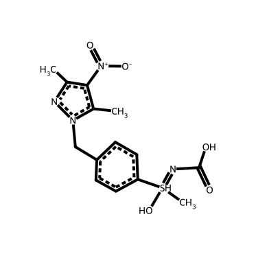 Cc1nn(Cc2ccc([SH](C)(O)=NC(=O)O)cc2)c(C)c1[N+](=O)[O-]